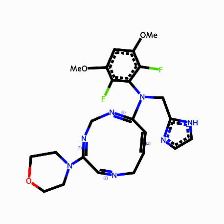 COc1cc(OC)c(F)c(N(Cc2ncc[nH]2)C2=N/C/N=C(N3CCOCC3)\C=N/C/C=C\2)c1F